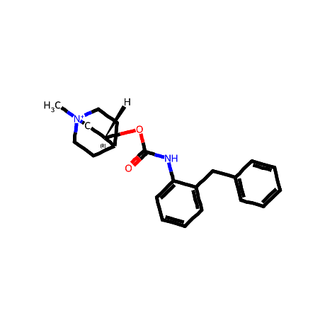 C[N+]12CCC(CC1)[C@@H](OC(=O)Nc1ccccc1Cc1ccccc1)C2